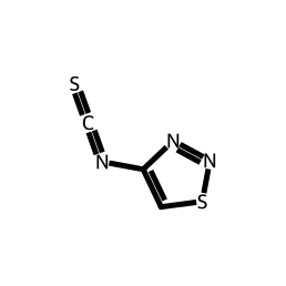 S=C=Nc1csnn1